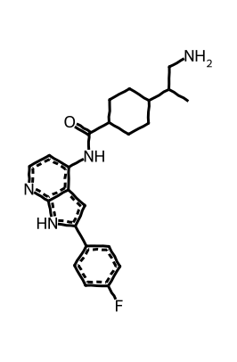 CC(CN)C1CCC(C(=O)Nc2ccnc3[nH]c(-c4ccc(F)cc4)cc23)CC1